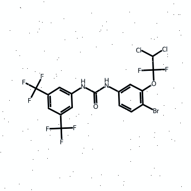 O=C(Nc1cc(C(F)(F)F)cc(C(F)(F)F)c1)Nc1ccc(Br)c(OC(F)(F)C(Cl)Cl)c1